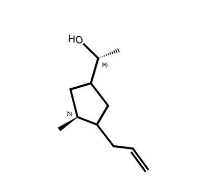 C=CCC1CC([C@@H](C)O)C[C@@H]1C